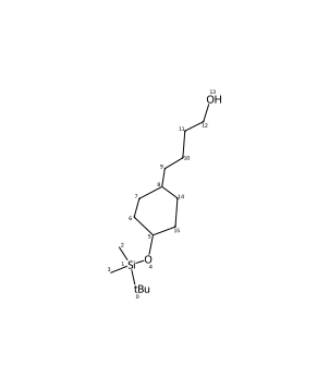 CC(C)(C)[Si](C)(C)OC1CCC(CCCCO)CC1